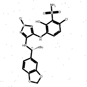 CC(C)(C)[C@@H](Nc1n[s+]([O-])nc1Nc1ccc(Cl)c(S(N)(=O)=O)c1O)c1ccc2c(c1)OCO2